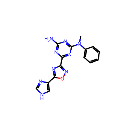 CN(c1ccccc1)c1nc(N)nc(-c2noc(-c3c[nH]cn3)n2)n1